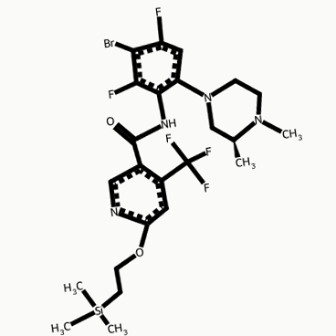 C[C@H]1CN(c2cc(F)c(Br)c(F)c2NC(=O)c2cnc(OCC[Si](C)(C)C)cc2C(F)(F)F)CCN1C